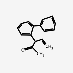 C=CC(C(C)=O)c1ccccc1-c1ccccc1